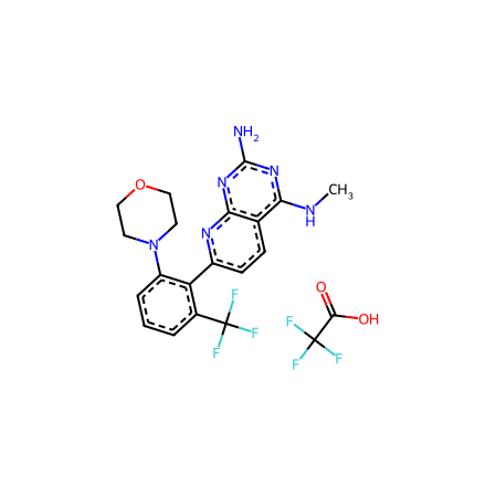 CNc1nc(N)nc2nc(-c3c(N4CCOCC4)cccc3C(F)(F)F)ccc12.O=C(O)C(F)(F)F